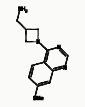 CSc1ccc2c(N3CC(CN)C3)ncnc2c1